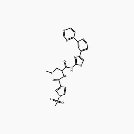 COCC(NC(=O)c1ccn(S(C)(=O)=O)c1)C(=O)Nc1nc(-c2cccc(-c3ccncn3)c2)cs1